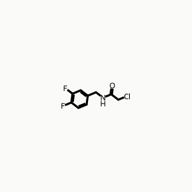 O=C(CCl)NCc1ccc(F)c(F)c1